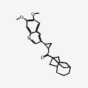 COc1cc2cc(C3CC3C(=O)C34CC5CCCC(C3)C(C5)C4)cnc2cc1OC